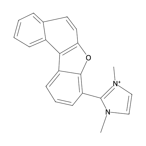 Cn1cc[n+](C)c1-c1cccc2c1oc1ccc3ccccc3c12